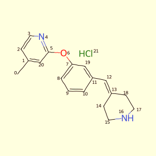 Cc1ccnc(Oc2cccc(C=C3CCNCC3)c2)c1.Cl